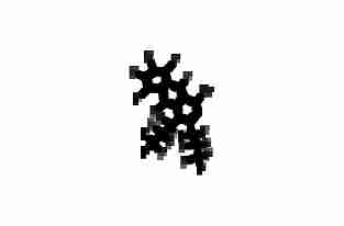 Fc1c(F)c(F)c2c(F)c3c(C(F)(F)C(F)(F)C(F)(F)F)c(C(F)(F)C(F)(F)C(F)(F)F)cc(Br)c3c(F)c2c1F